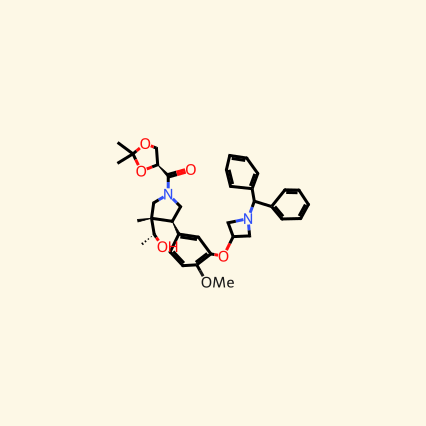 COc1ccc([C@@H]2CN(C(=O)[C@@H]3COC(C)(C)O3)C[C@@]2(C)[C@@H](C)O)cc1OC1CN(C(c2ccccc2)c2ccccc2)C1